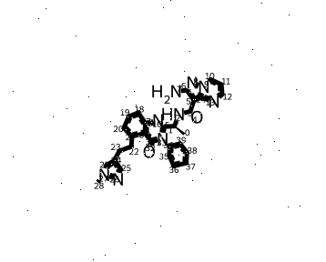 C[C@H](NC(=O)c1c(N)nn2cccnc12)c1nc2cccc(CCc3cnn(C)c3)c2c(=O)n1-c1ccccc1